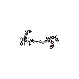 NC(=O)COCNC(=O)CNC(=O)C(Cc1ccccc1)NC(=O)CNC(=O)CNC(=O)COCCOCCOCCOc1ccc(N2C(=O)C(Sc3ccc(C(=O)N4CCOCC4)cc3)=C(Sc3ccc(C(=O)N4CCOCC4)cc3)C2=O)cc1